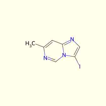 Cc1cc2ncc(I)n2cn1